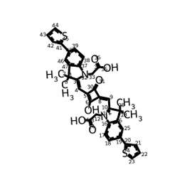 CC1(C)C(=CC2=C(O)C(=CC3=[N+](CC(=O)O)c4ccc(-c5cccs5)cc4C3(C)C)C2=O)N(CC(=O)O)c2ccc(-c3cccs3)cc21